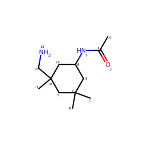 CC(=O)NC1CC(C)(C)CC(C)(CN)C1